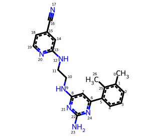 Cc1cccc(-c2cc(NCCNc3cc(C#N)ccn3)nc(N)n2)c1C